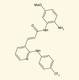 COc1ccc(N)c(NC(=O)/C=C/c2cccnc2Nc2ccc(C(F)(F)F)cc2)c1